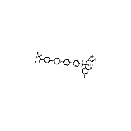 OC(c1ccc(N2CCN(c3ccc(-c4ccc(C(F)(F)C(O)(Cn5cnnc5)c5ccc(F)cc5F)nc4)cc3)CC2)cc1)C(F)(F)F